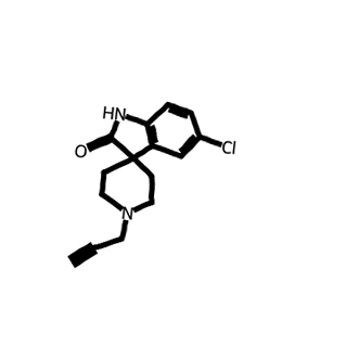 C#CCN1CCC2(CC1)C(=O)Nc1ccc(Cl)cc12